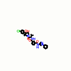 CC(C)[C@@H](NC(=O)c1cccc(C(=O)Nc2cnn(-c3ccccc3)c2)c1)C(=O)N1CC[C@](O)(c2ccc(Cl)cc2)C(C)(C)C1